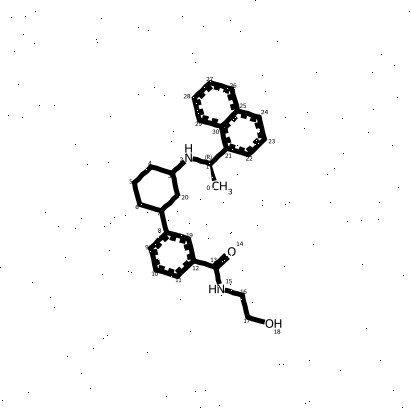 C[C@@H](NC1CCCC(c2cccc(C(=O)NCCO)c2)C1)c1cccc2ccccc12